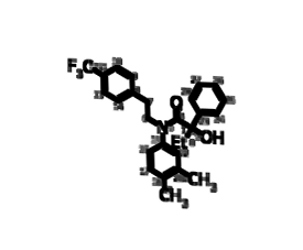 CC[C@@](O)(C(=O)N(CCc1ccc(C(F)(F)F)cc1)c1ccc(C)c(C)c1)c1ccccc1